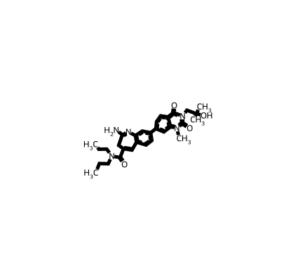 CCCN(CCC)C(=O)C1=Cc2ccc(-c3ccc4c(=O)n(CC(C)(C)O)c(=O)n(C)c4c3)cc2N=C(N)C1